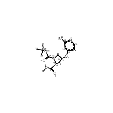 COC(=O)[C@@H]1C[C@H](Oc2ccnc(Br)c2)CN1C(=O)OC(C)(C)C